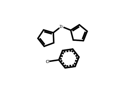 C1=CC[C]([Zr][C]2=CC=CC2)=C1.Clc1ccccc1